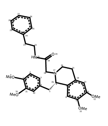 COc1ccc(C[C@H]2c3cc(OC)c(OC)cc3CCN2CC(=O)NCCc2ccccc2)cc1OC